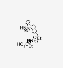 CCC(Cc1ccc2cc(-c3ccccc3-c3nnn[nH]3)ccc2c1)OC(=O)NCC(CC)(CC)C(=O)O